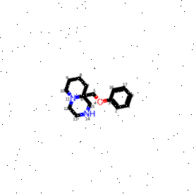 c1ccc(OCC23CCCCN2CCNC3)cc1